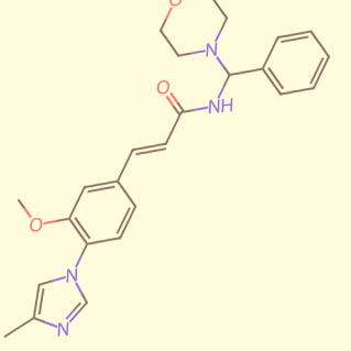 COc1cc(C=CC(=O)NC(c2ccccc2)N2CCOCC2)ccc1-n1cnc(C)c1